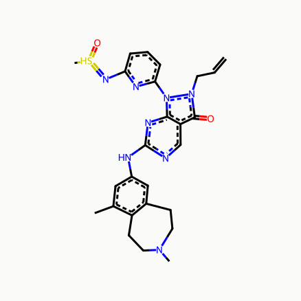 C=CCn1c(=O)c2cnc(Nc3cc(C)c4c(c3)CCN(C)CC4)nc2n1-c1cccc(/N=[SH](/C)=O)n1